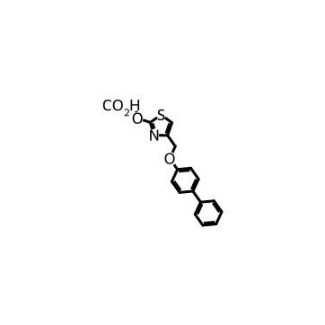 O=C(O)Oc1nc(COc2ccc(-c3ccccc3)cc2)cs1